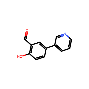 O=Cc1cc(-c2cccnc2)ccc1O